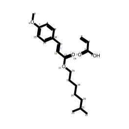 C=CC(=O)O.COc1ccc(/C=C/C(=O)OCCCCCC(C)C)cc1